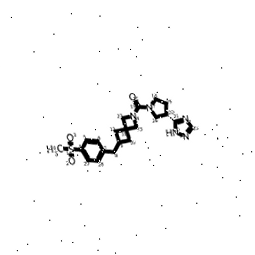 CS(=O)(=O)c1ccc(CC2CC3(C2)CN(C(=O)N2CC[C@H](c4ncn[nH]4)C2)C3)cc1